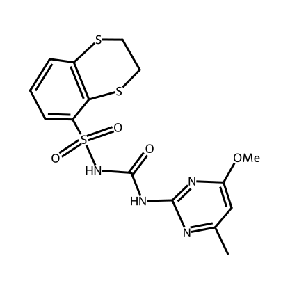 COc1cc(C)nc(NC(=O)NS(=O)(=O)c2cccc3c2SCCS3)n1